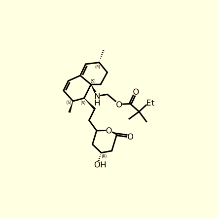 CCC(C)(C)C(=O)OCN[C@]12CC[C@@H](C)C=C1C=C[C@H](C)[C@@H]2CCC1C[C@@H](O)CC(=O)O1